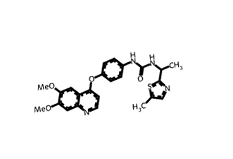 COc1cc2nccc(Oc3ccc(NC(=O)NC(C)c4ncc(C)s4)cc3)c2cc1OC